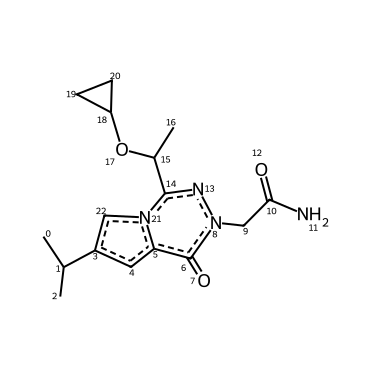 CC(C)c1cc2c(=O)n(CC(N)=O)nc(C(C)OC3CC3)n2c1